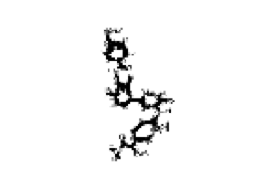 Cc1c(-c2cc(NC3C=CC(C(O)C(=O)N(C)C)=CP3)c(=O)[nH]n2)ccc(F)c1NC(=O)c1ccc(C(C)(C)C)cc1